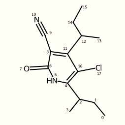 CCC(C)c1[nH]c(=O)c(C#N)c(C(C)CC)c1Cl